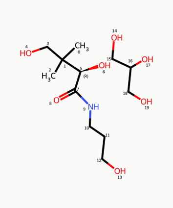 CC(C)(CO)[C@@H](O)C(=O)NCCCO.OCC(O)CO